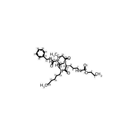 C=CCOC(=O)NCCC[C@H]1C(=O)N(CCCCCC)C[C@H]2N1C(=O)CN(C)N2C(=O)NCc1ccccc1